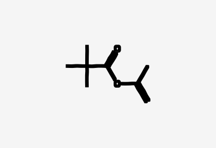 C=C(C)OC(=O)C(C)(C)C